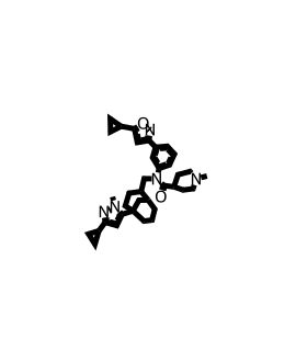 CN1CCC(C(=O)N(CC2CCC3(c4cc(C5CC5)nn4C)CCCC2C3)c2cccc(-c3cc(C4CC4)on3)c2)CC1